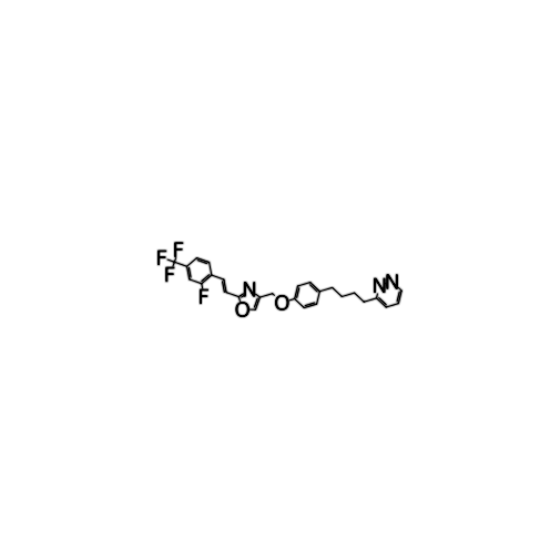 Fc1cc(C(F)(F)F)ccc1C=Cc1nc(COc2ccc(CCCCc3cccnn3)cc2)co1